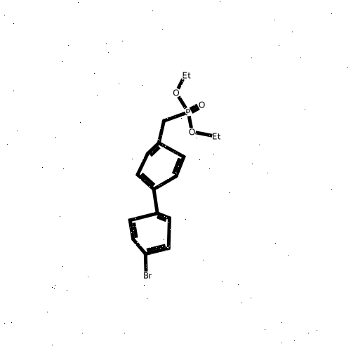 CCOP(=O)(Cc1ccc(-c2ccc(Br)cc2)cc1)OCC